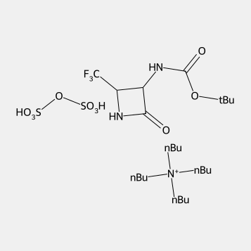 CC(C)(C)OC(=O)NC1C(=O)NC1C(F)(F)F.CCCC[N+](CCCC)(CCCC)CCCC.O=S(=O)(O)OS(=O)(=O)O